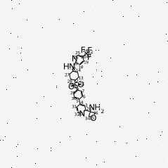 NC1(c2cc(-c3ccc(S(=O)(=O)[C@H]4CC[C@H](Nc5ccc(C(F)(F)F)cn5)CC4)cc3)ccn2)COC1